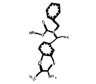 CCC(c1ccc2c(c1)N=C(N)C(C)O2)N(Cc1ccccc1)C(=O)OC(C)(C)C